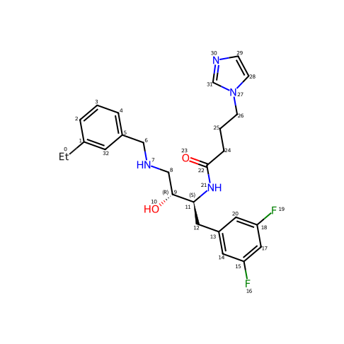 CCc1cccc(CNC[C@@H](O)[C@H](Cc2cc(F)cc(F)c2)NC(=O)CCCn2ccnc2)c1